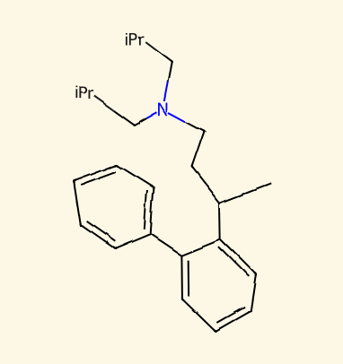 CC(C)CN(CCC(C)c1ccccc1-c1ccccc1)CC(C)C